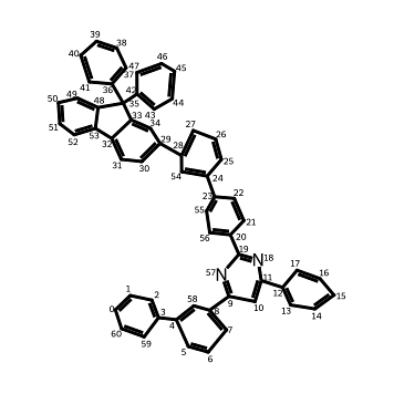 c1ccc(-c2cccc(-c3cc(-c4ccccc4)nc(-c4ccc(-c5cccc(-c6ccc7c(c6)C(c6ccccc6)(c6ccccc6)c6ccccc6-7)c5)cc4)n3)c2)cc1